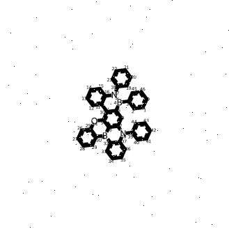 c1ccc(B2c3cc4c5c(c3-c3ccccc3N2c2ccccc2)Oc2ccccc2B5c2ccccc2N4c2ccccc2)cc1